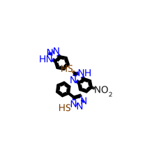 O=[N+]([O-])c1ccc2nc(S)[nH]c2c1.Sn1nncc1-c1ccccc1.c1ccc2[nH]nnc2c1